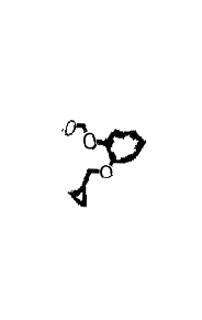 [O]COc1ccccc1OCC1CC1